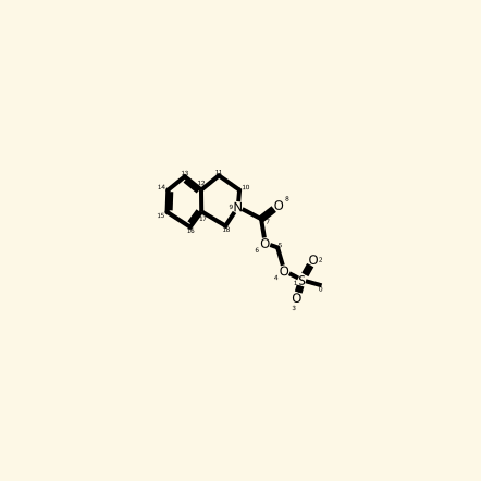 CS(=O)(=O)OCOC(=O)N1CCc2ccccc2C1